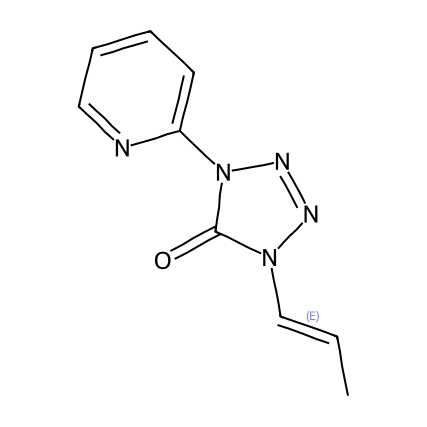 C/C=C/n1nnn(-c2ccccn2)c1=O